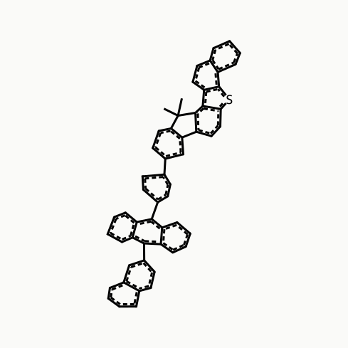 CC1(C)c2ccc(-c3ccc(-c4c5ccccc5c(-c5ccc6ccccc6c5)c5ccccc45)cc3)cc2-c2ccc3sc4c5ccccc5ccc4c3c21